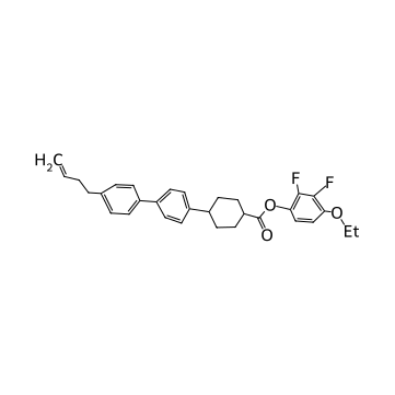 C=CCCc1ccc(-c2ccc(C3CCC(C(=O)Oc4ccc(OCC)c(F)c4F)CC3)cc2)cc1